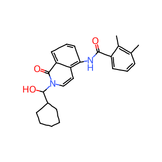 Cc1cccc(C(=O)Nc2cccc3c(=O)n(C(O)C4CCCCC4)ccc23)c1C